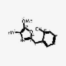 CCCc1nc(Cc2ccccc2Cl)oc1OC